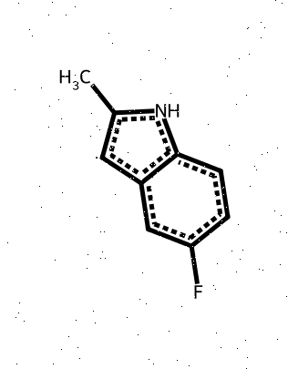 Cc1[c]c2cc(F)ccc2[nH]1